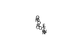 CN1C(=O)Cc2ccc(N3CCCc4cc(-c5cnn(C)c5)c(C(F)F)cc43)cc21